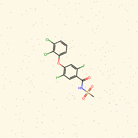 CS(=O)(=O)NC(=O)c1cc(F)c(Oc2cccc(Cl)c2Cl)cc1F